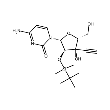 C#C[C@@]1(O)[C@@H](CO)O[C@@H](n2ccc(N)nc2=O)[C@@H]1O[Si](C)(C)C(C)(C)C